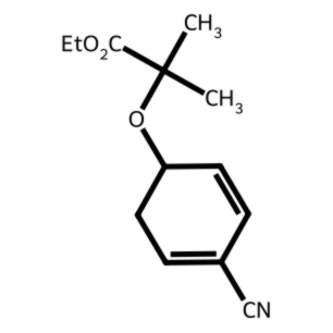 CCOC(=O)C(C)(C)OC1C=CC(C#N)=CC1